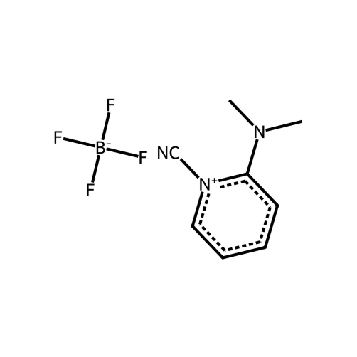 CN(C)c1cccc[n+]1C#N.F[B-](F)(F)F